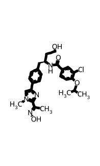 C/C(=N\O)c1nc(-c2ccc(C[C@@H](CCO)NC(=O)c3ccc(OC(C)C)c(Cl)c3)cc2)cn1C